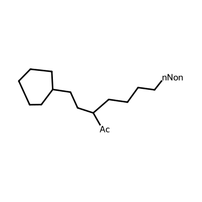 CCCCCCCCCCCCCC(CCC1CCCCC1)C(C)=O